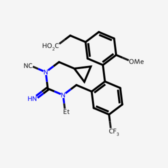 CCN(Cc1cc(C(F)(F)F)ccc1-c1cc(CC(=O)O)ccc1OC)C(=N)N(C#N)CC1CC1